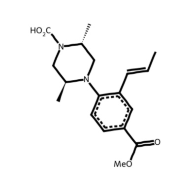 CC=Cc1cc(C(=O)OC)ccc1N1C[C@@H](C)N(C(=O)O)C[C@@H]1C